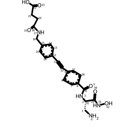 NC[C@H](NC(=O)c1ccc(C#Cc2ccc(CNC(=O)CCC(=O)O)cc2)cc1)C(=O)NO